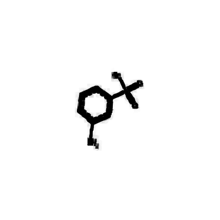 Nc1cccc([S](=O)(=O)[Sn])c1